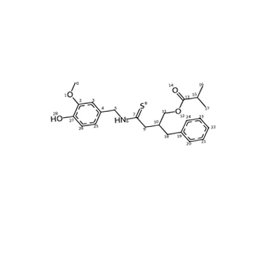 COc1cc(CNC(=S)CC(COC(=O)C(C)C)Cc2ccccc2)ccc1O